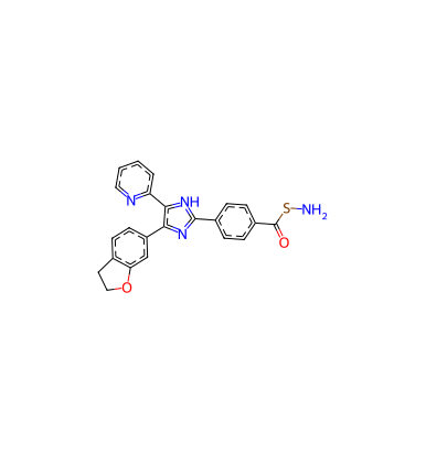 NSC(=O)c1ccc(-c2nc(-c3ccc4c(c3)OCC4)c(-c3ccccn3)[nH]2)cc1